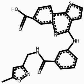 Cc1cc(CNC(=O)c2cccc(Nc3nc4cc(C(=O)O)ccc4c4sccc34)c2)no1